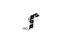 C[C@@H]1CN(Cc2ccc(C(=O)O)cc2)C[C@H](C)N1C(=O)c1ccc(CN2CCN(C)CC2)cc1